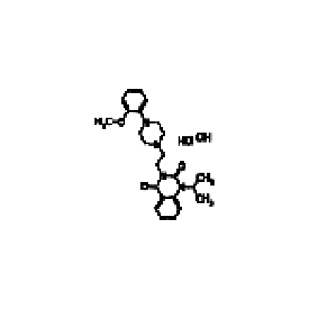 COc1ccccc1N1CCN(CCn2c(=O)c3ccccc3n(C(C)C)c2=O)CC1.Cl.Cl